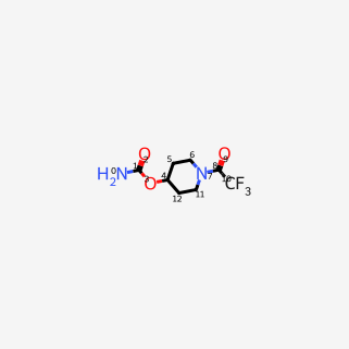 NC(=O)OC1CCN(C(=O)C(F)(F)F)CC1